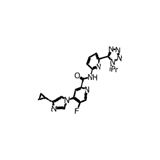 CC(C)n1nnnc1-c1cccc(NC(=O)c2cc(-n3cnc(C4CC4)c3)c(F)cn2)n1